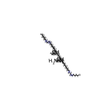 CCCCC/C=C\C/C=C/CCCCCCCCN(CCCCCC(CCCCCCCC/C=C\C/C=C/CCCCC)CC(O)CC)CC(O)CN